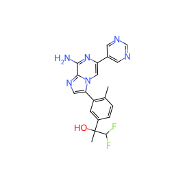 Cc1ccc(C(C)(O)C(F)F)cc1-c1cnc2c(N)nc(-c3cncnc3)cn12